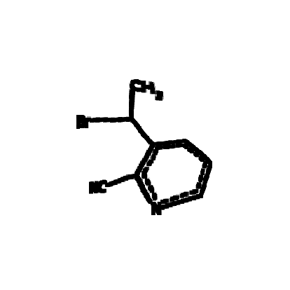 CC(Br)c1cccnc1C#N